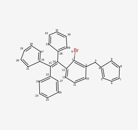 Brc1c(Cc2ccccc2)cccc1C(=C(c1ccccc1)c1ccccc1)c1ccccc1